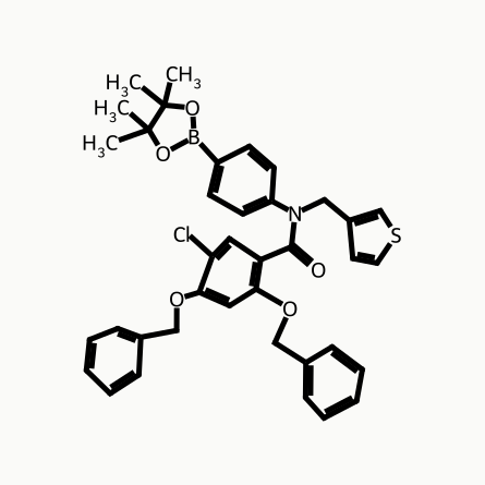 CC1(C)OB(c2ccc(N(Cc3ccsc3)C(=O)c3cc(Cl)c(OCc4ccccc4)cc3OCc3ccccc3)cc2)OC1(C)C